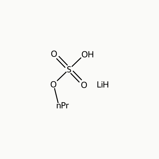 CCCOS(=O)(=O)O.[LiH]